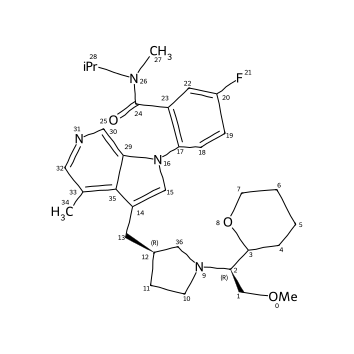 COC[C@H](C1CCCCO1)N1CC[C@@H](Cc2cn(-c3ccc(F)cc3C(=O)N(C)C(C)C)c3cncc(C)c23)C1